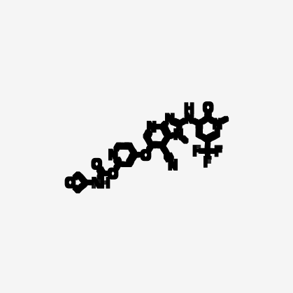 Cn1cc(C(F)(F)F)cc(Nc2nc3ncc(Oc4ccnc(OC(=O)NC5COC5)c4)c(C#N)c3n2C)c1=O